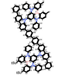 Cc1ccc2c(c1)B1c3cc(C)ccc3N(c3ccccc3)c3cc(-n4c5cc(-c6ccccc6)ccc5c5ccc(-c6ccc(-c7ccc(-c8ccc9c%10ccc(-c%11ccccc%11)cc%10n(-c%10cc%11c%12c(c%10)N(c%10ccccc%10)c%10ccc(C(C)(C)C)cc%10B%12c%10cc(C(C)(C)C)ccc%10N%11c%10ccccc%10)c9c8)cc7)cc6)cc54)cc(c31)N2c1ccccc1